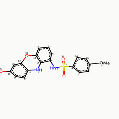 COc1ccc(S(=O)(=O)Nc2cccc3c2Nc2ccc(O)cc2O3)cc1